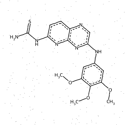 COc1cc(Nc2cnc3ccc(NC(N)=S)nc3n2)cc(OC)c1OC